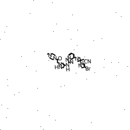 CN1CCN(C(=O)CN2C=C(Nc3nc4c(N5CC(CC#N)(n6cc(Br)cn6)C5)cccn4n3)CN2)CC1